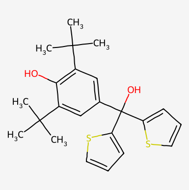 CC(C)(C)c1cc(C(O)(c2cccs2)c2cccs2)cc(C(C)(C)C)c1O